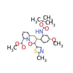 COC(=O)c1cccc(CC(C(=O)c2cnc(C)s2)c2ccc(OC)cc2NC(=O)OC(C)(C)C)n1